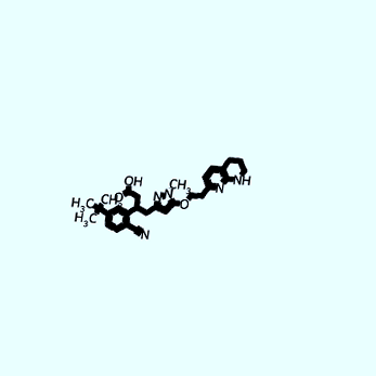 Cn1nc(CC(CC(=O)O)c2cc(C(C)(C)C)ccc2C#N)cc1OCCc1ccc2c(n1)NCCC2